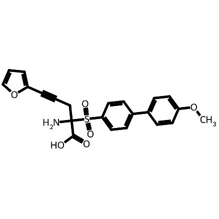 COc1ccc(-c2ccc(S(=O)(=O)C(N)(CC#Cc3ccco3)C(=O)O)cc2)cc1